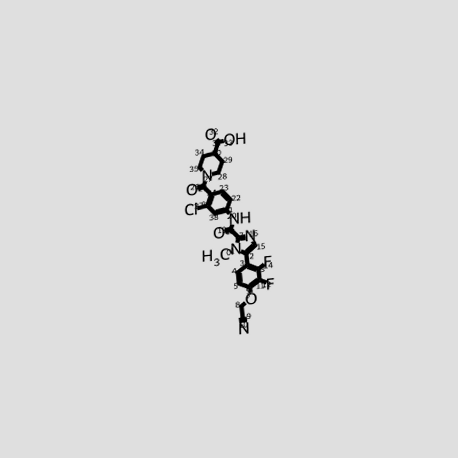 Cn1c(-c2ccc(OCC#N)c(F)c2F)cnc1C(=O)Nc1ccc(C(=O)N2CCC(C(=O)O)CC2)c(Cl)c1